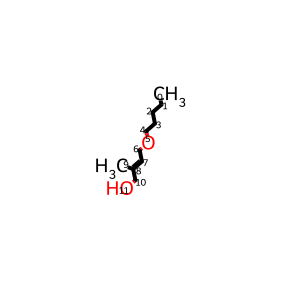 CCCCCOC/C=C(\C)CO